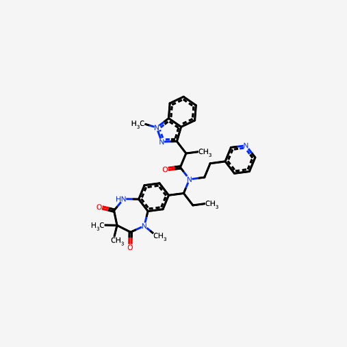 CCC(c1ccc2c(c1)N(C)C(=O)C(C)(C)C(=O)N2)N(CCc1cccnc1)C(=O)C(C)c1nn(C)c2ccccc12